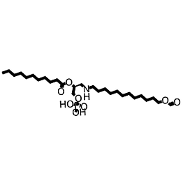 CCCCCCCCCCC(=O)O[C@@H](CNCCCCCCCCCCCCOC=O)COP(=O)(O)O